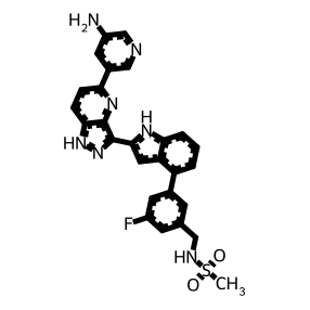 CS(=O)(=O)NCc1cc(F)cc(-c2cccc3[nH]c(-c4n[nH]c5ccc(-c6cncc(N)c6)nc45)cc23)c1